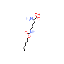 C=CCCCCOC(=O)NCCCC[C@H](N)C(=O)O